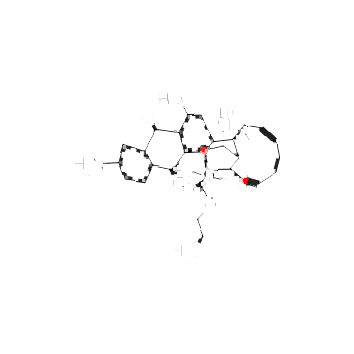 C=CCOC(=O)N1c2c(cc(O)c3c2C(=O)c2ccc(N)cc2C3=O)[C@@]23O[C@@]2([C@@H](C)O[Si](CC)(CC)CC)[C@@H]1C#C/C=C\C#C[C@H]3O